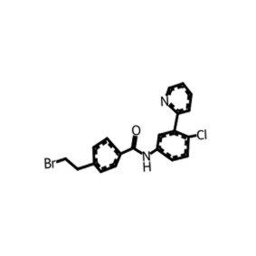 O=C(Nc1ccc(Cl)c(-c2ccccn2)c1)c1ccc(CCBr)cc1